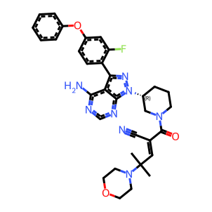 CC(C)(C=C(C#N)C(=O)N1CCC[C@@H](n2nc(-c3ccc(Oc4ccccc4)cc3F)c3c(N)ncnc32)C1)N1CCOCC1